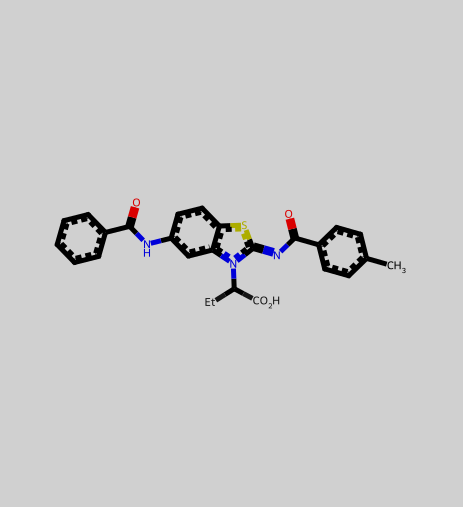 CCC(C(=O)O)n1c(=NC(=O)c2ccc(C)cc2)sc2ccc(NC(=O)c3ccccc3)cc21